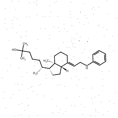 C[C@H](CCCC(C)(C)O)[C@H]1CC[C@H]2/C(=C/CNc3ccccc3)CCC[C@]12C